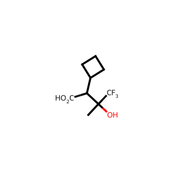 CC(O)(C(C(=O)O)C1CCC1)C(F)(F)F